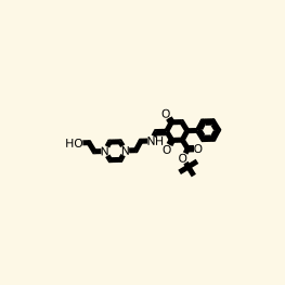 CC(C)(C)OC(=O)C1C(=O)/C(=C\NCCN2CCN(CCO)CC2)C(=O)CC1c1ccccc1